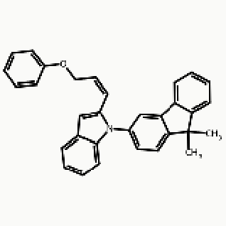 CC1(C)c2ccccc2-c2cc(-n3c(/C=C\COc4ccccc4)cc4ccccc43)ccc21